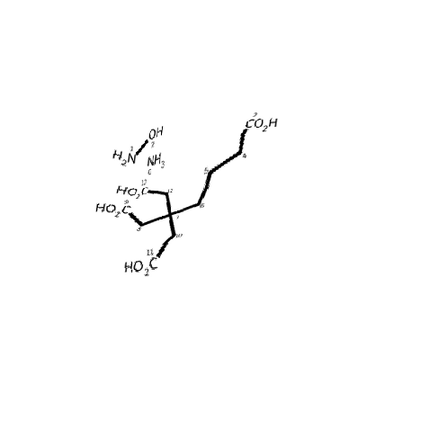 N.NO.O=C(O)CCCC(CC(=O)O)(CC(=O)O)CC(=O)O